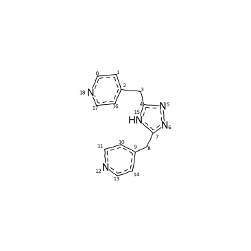 c1cc(Cc2nnc(Cc3ccncc3)[nH]2)ccn1